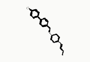 CC/C=C/[C@H]1CC[C@H](CCc2ccc(-c3ccc(Cl)cc3)cc2)CC1